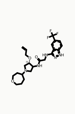 C=CCO[C@H]1CN(C2CCCOCC2)CC1NC(=O)CNc1n[nH]c2ccc(C(F)(F)F)cc12